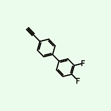 C#Cc1ccc(-c2ccc(F)c(F)c2)cc1